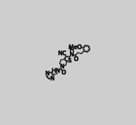 COc1ccccc1CCC(=O)Nc1sc2c(c1C#N)CCN(C(=O)NCc1cnccn1)C2